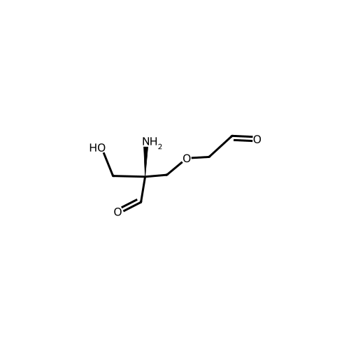 N[C@@](C=O)(CO)COCC=O